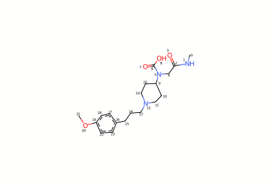 CNC(=O)CN(C(=O)O)C1CCN(CCCc2ccc(OC)cc2)CC1